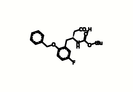 CC(C)(C)OC(=O)N[C@@H](CC(=O)O)Cc1cc(F)ccc1OCc1ccccc1